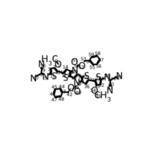 COc1cc(N=C(C#N)C#N)sc1-c1cc2c(s1)c1c(c3sc(-c4sc(N=C(C#N)C#N)cc4OC)cc3n1C(=O)OCc1ccccc1)n2C(=O)OCc1ccccc1